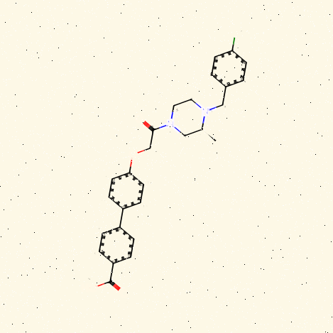 C[C@@H]1CN(Cc2ccc(F)cc2)[C@@H](C)CN1C(=O)COc1ccc(-c2ccc(C(=O)O)cc2)cc1